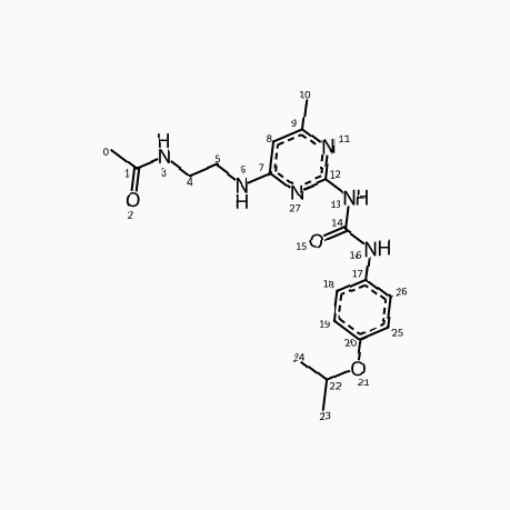 CC(=O)NCCNc1cc(C)nc(NC(=O)Nc2ccc(OC(C)C)cc2)n1